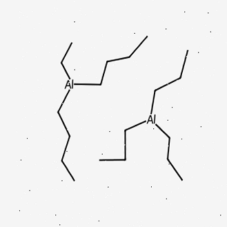 CCC[CH2][Al]([CH2]C)[CH2]CCC.CC[CH2][Al]([CH2]CC)[CH2]CC